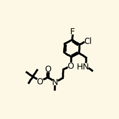 CNCc1c(OCCN(C)C(=O)OC(C)(C)C)ccc(F)c1Cl